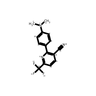 CN(C)c1ccc(-c2nc(C(F)(F)F)ccc2C#N)cc1